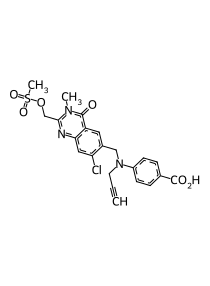 C#CCN(Cc1cc2c(=O)n(C)c(COS(C)(=O)=O)nc2cc1Cl)c1ccc(C(=O)O)cc1